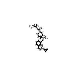 CCN(Cc1cccc2c1CN(C1CC1)CC2)C1(C)CCN(C(=O)OC(C(F)(F)F)C(F)(F)F)CC1